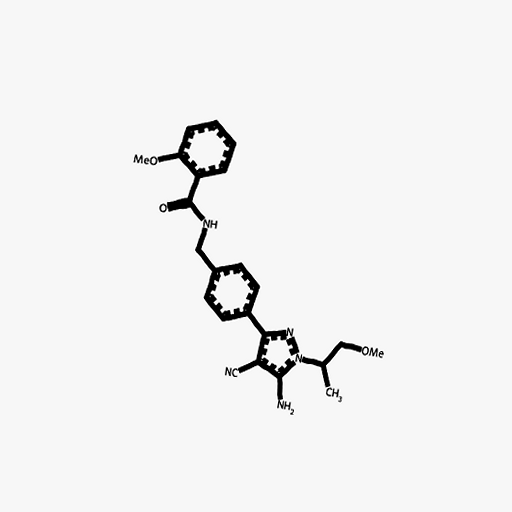 COCC(C)n1nc(-c2ccc(CNC(=O)c3ccccc3OC)cc2)c(C#N)c1N